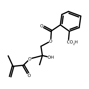 C=C(C)C(=O)OC(C)(O)COC(=O)c1ccccc1C(=O)O